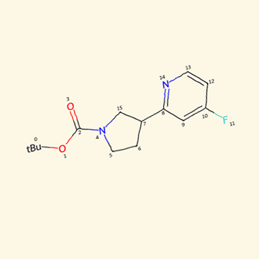 CC(C)(C)OC(=O)N1CCC(c2cc(F)ccn2)C1